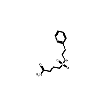 NC(=O)CCCS(=O)(=O)NC[CH]c1ccccc1